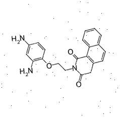 Nc1ccc(OCCN2C(=O)Cc3ccc4ccccc4c3C2=O)c(N)c1